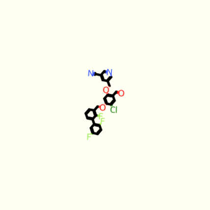 N#Cc1cncc(COc2cc(OCc3cccc(-c4cc(F)ccc4F)c3F)c(Cl)cc2C=O)c1